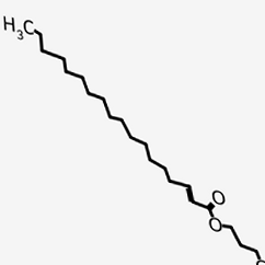 CCCCCCCCCCCCCCCC=CC(=O)OCCCO